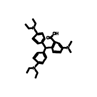 CCN(CC)c1ccc(C(c2ccc(N(CC)CC)cc2)c2ccc(N(C)C)cc2C(=O)O)cc1